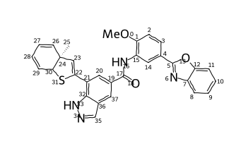 COc1ccc(-c2nc3ccccc3o2)cc1NC(=O)c1cc(C2=C[C@]3(C)C=CC=CC3S2)c2[nH]ncc2c1